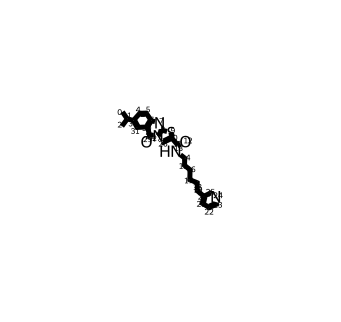 CC(C)c1ccc2nc3sc(C(=O)NCCCCCCc4cccnc4)cn3c(=O)c2c1